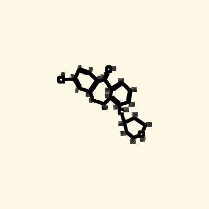 O=C1c2ccc(Cl)cc2CCc2c(CC3CCOCC3)cccc21